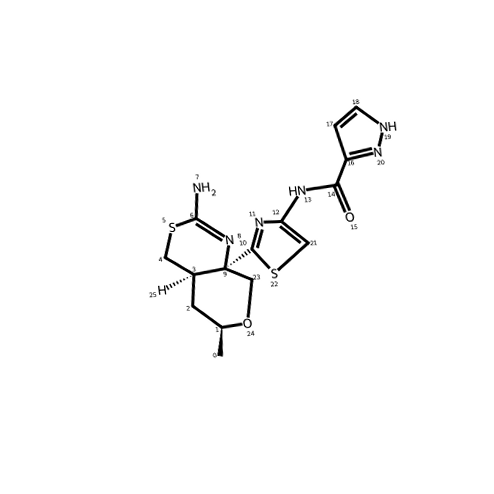 C[C@H]1C[C@H]2CSC(N)=N[C@@]2(c2nc(NC(=O)c3cc[nH]n3)cs2)CO1